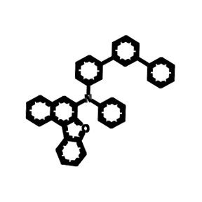 c1ccc(-c2cccc(-c3cccc(N(c4ccccc4)c4cc5ccccc5c5c4oc4ccccc45)c3)c2)cc1